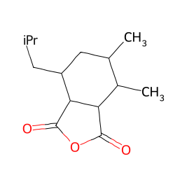 CC(C)CC1CC(C)C(C)C2C(=O)OC(=O)C12